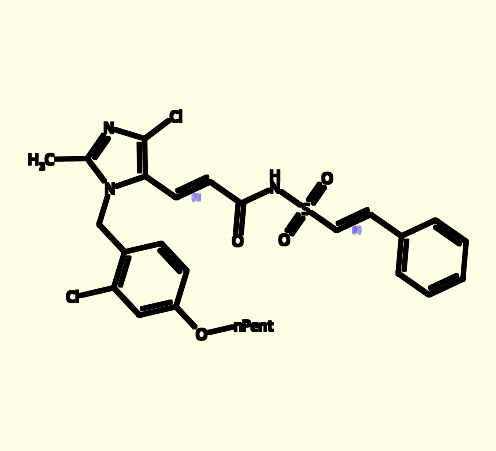 CCCCCOc1ccc(Cn2c(C)nc(Cl)c2/C=C/C(=O)NS(=O)(=O)/C=C/c2ccccc2)c(Cl)c1